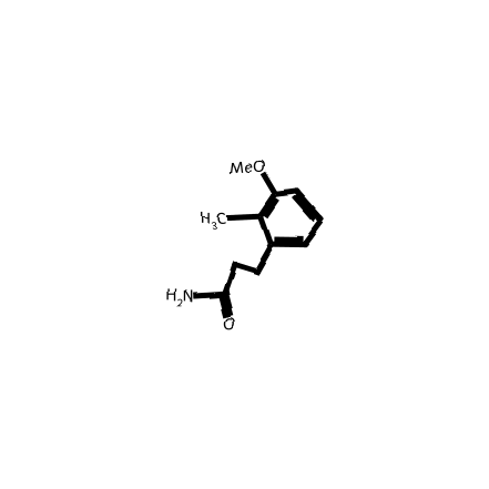 COc1cccc(CCC(N)=O)c1C